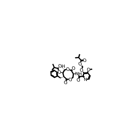 COc1ccnc(C(=O)N[C@H]2COC(=O)[C@H](Cc3ccccc3)[C@@H](OC(O)C(C)C)[C@H](C)OC2=O)c1OCOC(=O)C(C)C